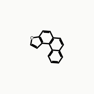 c1ccc2c(c1)ccc1ccc3occc3c12